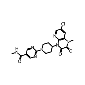 CNC(=O)c1cnc(N2CCC(n3c(=O)c(=O)n(C)c4cc(Cl)cnc43)CC2)nc1